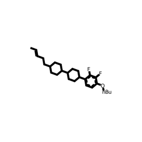 C/C=C/CCC1CCC(C2CCC(c3ccc(OCCCC)c(F)c3F)CC2)CC1